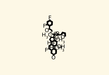 C[C@@H]1C[C@H]2[C@@H]3C[C@H](F)C4=CC(=O)C=C[C@]4(C)[C@@]3(F)[C@@H](O)C[C@]2(C)[C@@]1(OC(=O)c1ccco1)C(=O)SCC(=O)c1ccc(F)cc1F